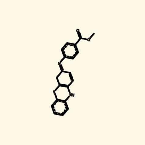 COC(=O)c1ccc(N=C2C=CC3=C(C2)Sc2ccccc2N3)cc1